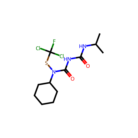 CC(C)NC(=O)NC(=O)N(SC(F)(Cl)Cl)C1CCCCC1